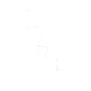 CCN1CCC(O)(CNC(=O)C(F)(F)F)CC1